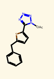 CC(=O)On1nnnc1-c1ccc(Cc2ccccc2)s1